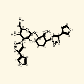 C=C1C(n2cc(-c3ccsc3)nn2)CCC[C@H]1S[C@@H]1OC(CO)[C@H](O)C(n2cc(-c3ccsc3)nn2)[C@@H]1O